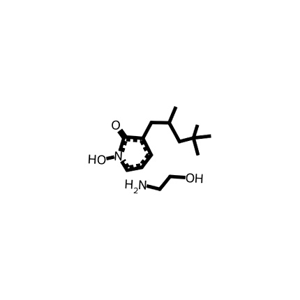 CC(Cc1cccn(O)c1=O)CC(C)(C)C.NCCO